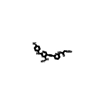 CCCNc1nc(Nc2ccc(C#N)cc2)ncc1C#Cc1cccc(NC(=O)CNC)n1